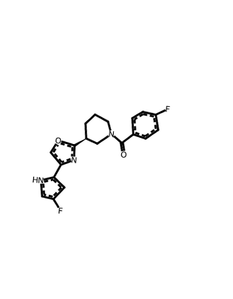 O=C(c1ccc(F)cc1)N1CCC[C@H](c2nc(-c3cc(F)c[nH]3)co2)C1